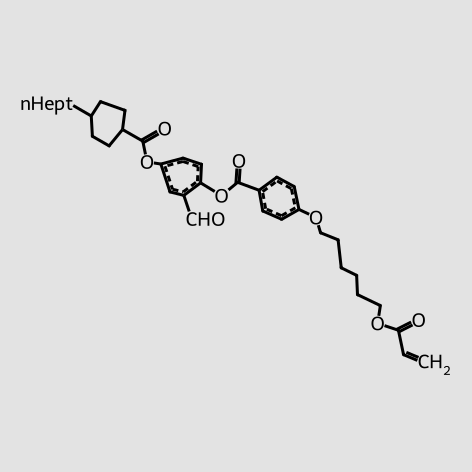 C=CC(=O)OCCCCCCOc1ccc(C(=O)Oc2ccc(OC(=O)C3CCC(CCCCCCC)CC3)cc2C=O)cc1